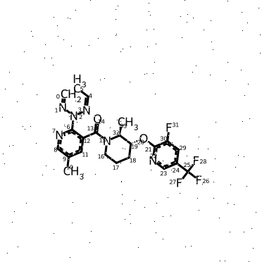 C=NN(/N=C\C)c1ncc(C)cc1C(=O)N1CCC[C@@H](Oc2ncc(C(F)(F)F)cc2F)[C@@H]1C